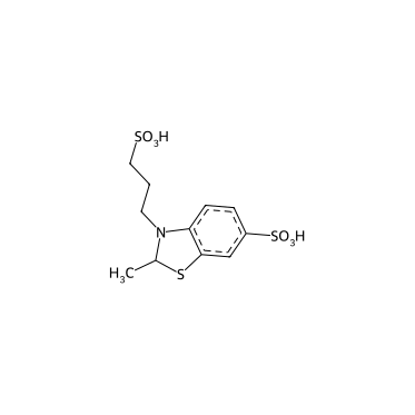 CC1Sc2cc(S(=O)(=O)O)ccc2N1CCCS(=O)(=O)O